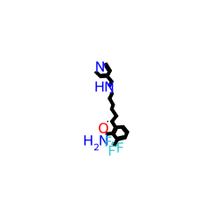 NC(=O)c1c([CH]CCCCCNCc2ccncc2)cccc1C(F)(F)F